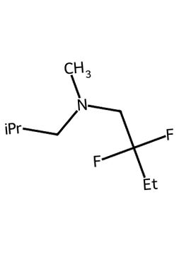 CCC(F)(F)CN(C)CC(C)C